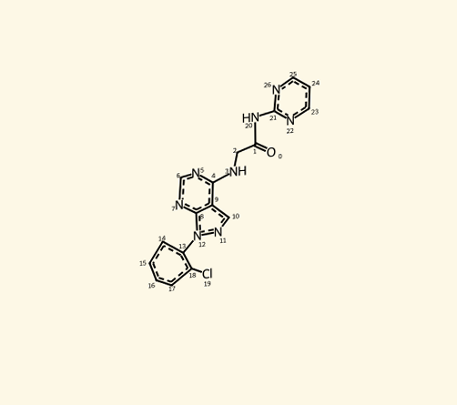 O=C(CNc1ncnc2c1cnn2-c1ccccc1Cl)Nc1ncccn1